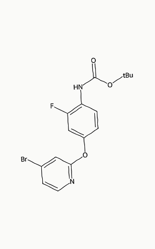 CC(C)(C)OC(=O)Nc1ccc(Oc2cc(Br)ccn2)cc1F